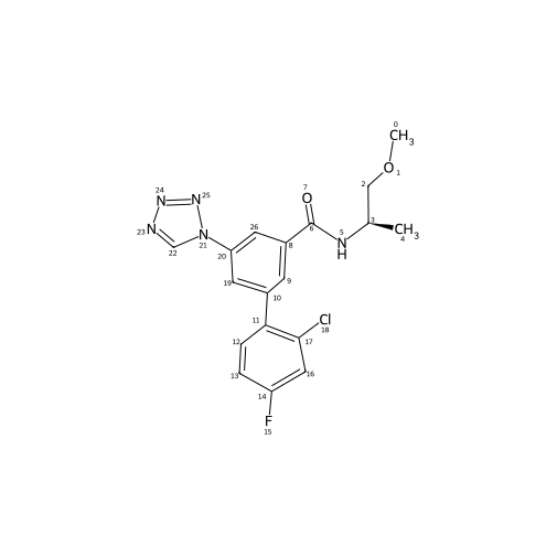 COC[C@@H](C)NC(=O)c1cc(-c2ccc(F)cc2Cl)cc(-n2cnnn2)c1